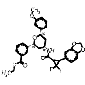 CCOC(=O)c1cccc([C@H]2C[C@@H](NC(=O)C3C(c4ccc5c(c4)OCO5)C3(F)F)C[C@@H](c3cccc(OC)c3)O2)c1